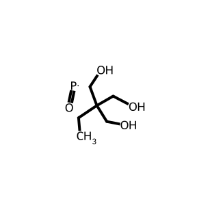 CCC(CO)(CO)CO.O=[P]